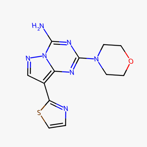 Nc1nc(N2CCOCC2)nc2c(-c3nccs3)cnn12